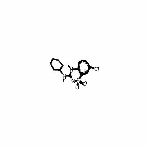 CN1C(NC2CCCCC2)=NS(=O)(=O)c2cc(Cl)ccc21